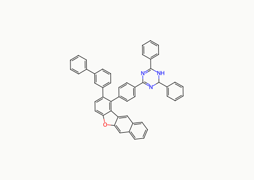 c1ccc(C2=NC(c3ccc(-c4c(-c5cccc(-c6ccccc6)c5)ccc5oc6cc7ccccc7cc6c45)cc3)=NC(c3ccccc3)N2)cc1